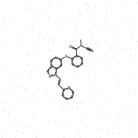 CN(C#N)C(=O)c1ccccc1Sc1ccc2cnn(C=Cc3ccccn3)c2c1